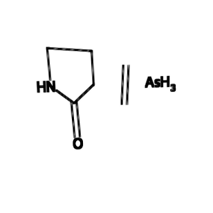 C=C.O=C1CCCN1.[AsH3]